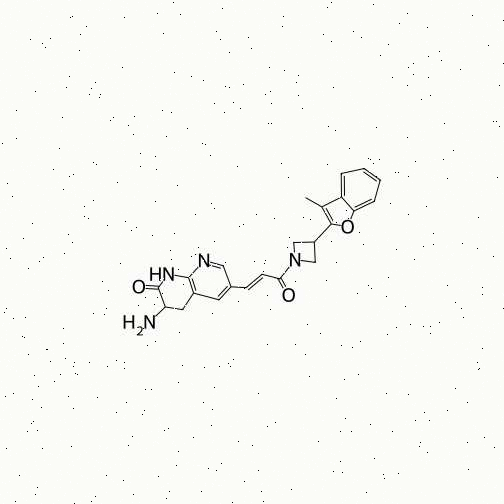 Cc1c(C2CN(C(=O)/C=C/c3cnc4c(c3)CC(N)C(=O)N4)C2)oc2ccccc12